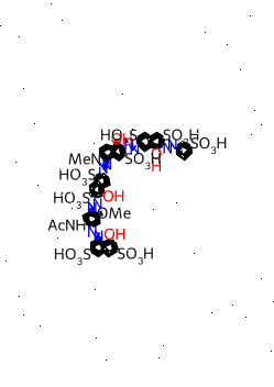 CNc1ccc2c(O)c(N=Nc3cc4c(O)c(N=Nc5cccc(S(=O)(=O)O)c5)c(S(=O)(=O)O)cc4cc3S(=O)(=O)O)c(S(=O)(=O)O)cc2c1N=Nc1ccc2c(O)c(N=Nc3cc(NC(C)=O)c(N=Nc4cc(S(=O)(=O)O)cc5cc(S(=O)(=O)O)cc(O)c45)cc3OC)c(S(=O)(=O)O)cc2c1S(=O)(=O)O